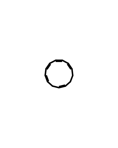 C1=CC=CCC=CCCC=CC=C1